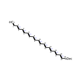 [CH]=C/C=C/C=C/C=C/C=C/C=C/C=C/C=C/C=C/C=C/CCCCCCCCCC